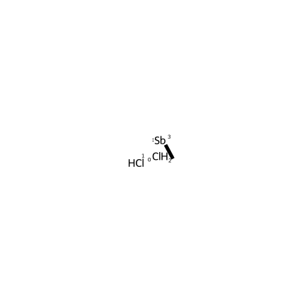 Cl.Cl.[CH3][Sb]